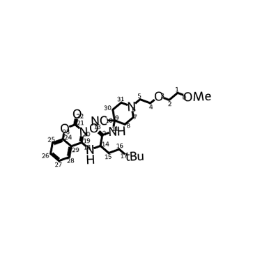 COCCOCCN1CCC(C#N)(NC(=O)C(CCC(C)(C)C)Nc2nc(=O)oc3ccccc23)CC1